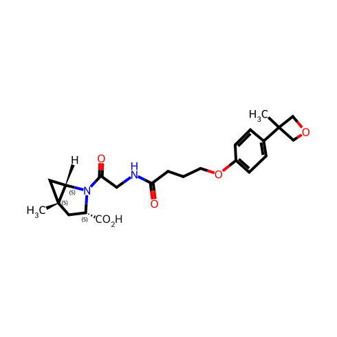 CC1(c2ccc(OCCCC(=O)NCC(=O)N3[C@H]4C[C@@]4(C)C[C@H]3C(=O)O)cc2)COC1